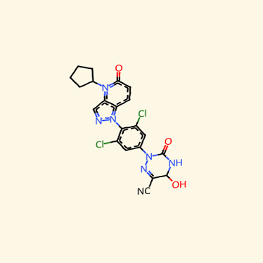 N#CC1=NN(c2cc(Cl)c(-n3ncc4c3ccc(=O)n4C3CCCC3)c(Cl)c2)C(=O)NC1O